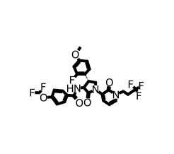 COc1ccc([C@@H]2CN(c3cccn(CCC(F)(F)F)c3=O)C(=O)C2NC(=O)c2ccc(OC(F)F)cc2)c(F)c1